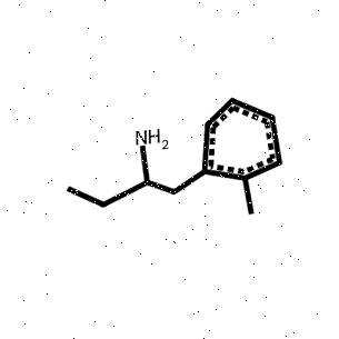 CCC(N)Cc1ccccc1C